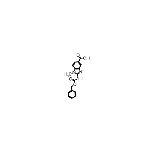 Cn1c(NC(=O)OCc2ccccc2)nc2cc(C(=O)O)ccc21